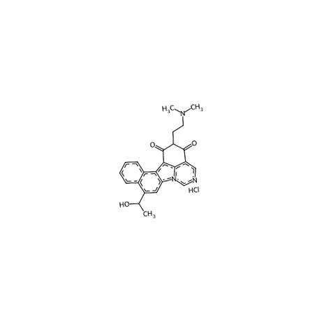 CC(O)c1cc2c(c3c4c(cncn42)C(=O)C(CCN(C)C)C3=O)c2ccccc12.Cl